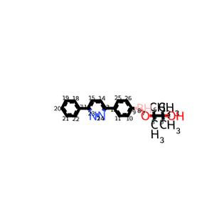 CC(C)(O)C(C)(C)OBc1ccc(-c2ccc(-c3ccccc3)nn2)cc1